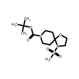 CC(C)(C)OC(=O)N1CCC2(CC1)OCCN2S(C)(=O)=O